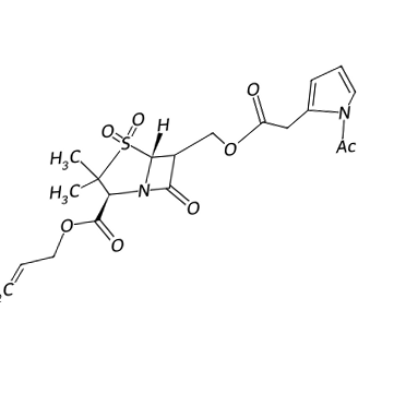 C=CCOC(=O)[C@@H]1N2C(=O)C(COC(=O)Cc3cccn3C(C)=O)[C@H]2S(=O)(=O)C1(C)C